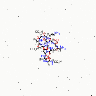 CC(C)C[C@H](NC(=O)[C@H](CCC(=O)O)NC(=O)[C@H](CCCCN)NC(=O)[C@H](C)NC(=O)[C@H](CO)NC(=O)CNC(=O)[C@H](C)N)C(=O)N[C@@H](CCC(=O)O)C(=O)NCC(=O)N[C@@H](CC(=O)O)C(=O)N1CCC[C@H]1C(=O)N[C@H](C(=O)N[C@@H](C)C(=O)NCC(=O)O)C(C)C